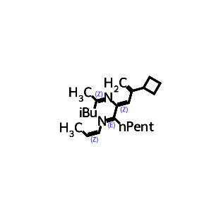 C=C(/C=C(\N=C(\C)C(C)CC)C(/CCCCC)=N/C=C\C)C1CCC1